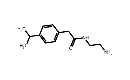 CC(C)c1ccc(CC(=O)NCCN)cc1